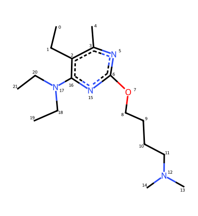 CCc1c(C)nc(OCCCCN(C)C)nc1N(CC)CC